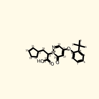 CC(C)(C)c1ccccc1Oc1cnn(C(CC2CCCC2)C(=O)O)c(=O)c1